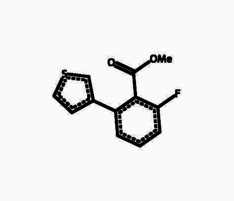 COC(=O)c1c(F)cccc1-c1ccsc1